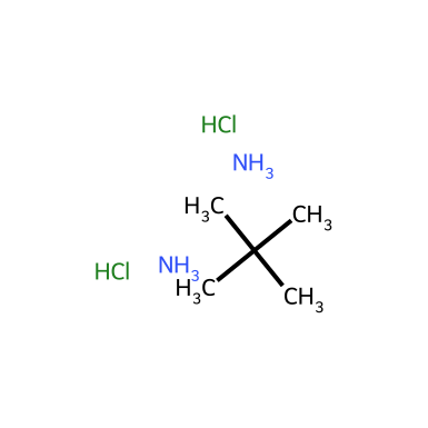 CC(C)(C)C.Cl.Cl.N.N